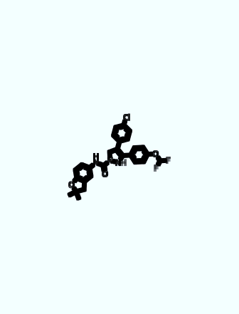 CC1(C)Cc2cc(NC(=O)N3CC(c4ccc(Cl)cc4)=C(c4ccc(OC(F)F)cc4)N3)ccc2O1